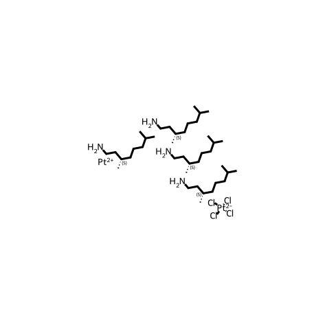 CC(C)CCC[C@H](C)CCN.CC(C)CCC[C@H](C)CCN.CC(C)CCC[C@H](C)CCN.CC(C)CCC[C@H](C)CCN.[Cl][Pt-2]([Cl])([Cl])[Cl].[Pt+2]